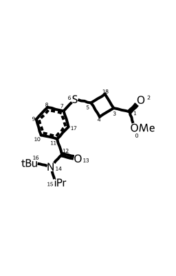 COC(=O)C1CC(Sc2cccc(C(=O)N(C(C)C)C(C)(C)C)c2)C1